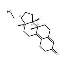 C[C@]12CCC3=C4CCC(=O)C=C4CC[C@H]3[C@H]1CC[C@H]2CO